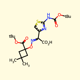 CC1(C)CC(O/N=C(\C(=O)O)c2csc(NC(=O)OC(C)(C)C)n2)(C(=O)OC(C)(C)C)C1